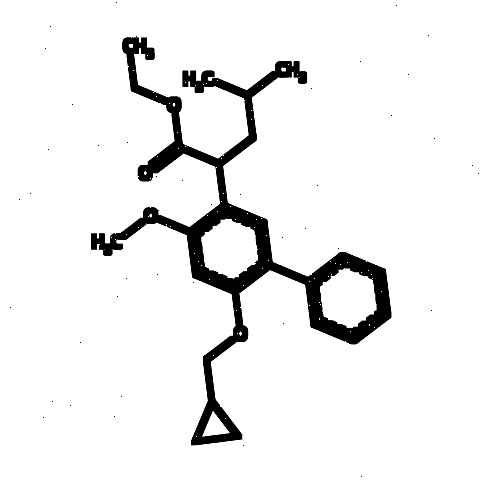 CCOC(=O)C(CC(C)C)c1cc(-c2ccccc2)c(OCC2CC2)cc1OC